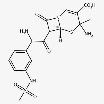 CC1(N)S[C@@H]2C(C(=O)C(N)c3cccc(NS(C)(=O)=O)c3)C(=O)N2C=C1C(=O)O